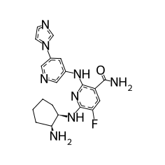 NC(=O)c1cc(F)c(N[C@@H]2CCCC[C@@H]2N)nc1Nc1cncc(-n2ccnc2)c1